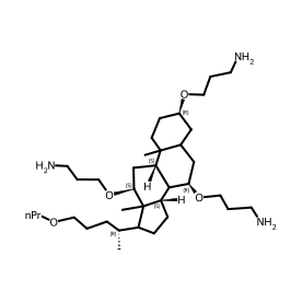 CCCOCCC[C@@H](C)C1CC[C@H]2C3[C@H](OCCCN)CC4C[C@H](OCCCN)CCC4(C)[C@H]3C[C@H](OCCCN)C12C